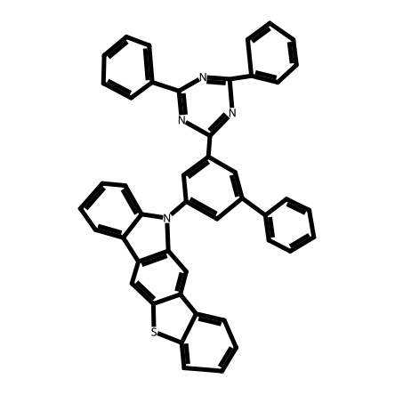 c1ccc(-c2cc(-c3nc(-c4ccccc4)nc(-c4ccccc4)n3)cc(-n3c4ccccc4c4cc5sc6ccccc6c5cc43)c2)cc1